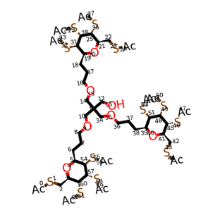 CC(=O)SC[C@H]1O[C@@H](CCCOCC(CO)(COCCC[C@@H]2O[C@H](CSC(C)=O)[C@@H](SC(C)=O)[C@@H](SC(C)=O)[C@@H]2SC(C)=O)COCCC[C@@H]2O[C@H](CSC(C)=O)[C@@H](SC(C)=O)[C@@H](SC(C)=O)[C@@H]2SC(C)=O)[C@@H](SC(C)=O)[C@H](SC(C)=O)[C@@H]1SC(C)=O